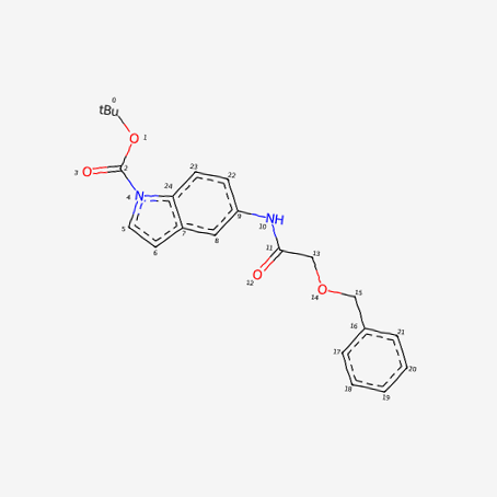 CC(C)(C)OC(=O)n1ccc2cc(NC(=O)COCc3ccccc3)ccc21